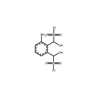 CCS(=O)(=O)C(O)c1cccc(N)c1C(O)S(=O)(=O)CC